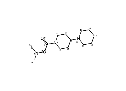 O=C(ON(I)I)N1CCC(N2CCCCC2)CC1